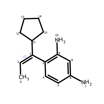 C/C=C(\c1ccc(N)cc1N)C1CCCC1